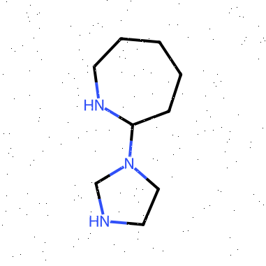 C1CCNC(N2CCNC2)CC1